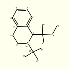 CCC(C)(C)C1c2ccccc2CCN1C(C)(C)C